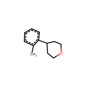 Cc1ccccc1C1CCOCC1